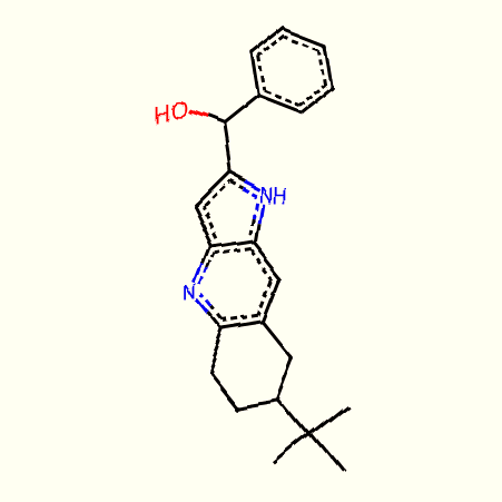 CC(C)(C)C1CCc2nc3cc(C(O)c4ccccc4)[nH]c3cc2C1